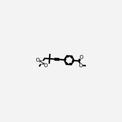 COC(=O)c1ccc(C#CC(C)(C)CS(C)(=O)=O)cc1